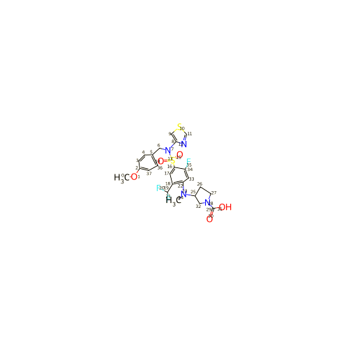 COc1ccc(CN(c2cscn2)S(=O)(=O)c2cc(C(F)F)c(N(C)C3CCN(C(=O)O)C3)cc2F)cc1